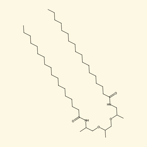 CCCCCCCCCCCCCCCCCC(=O)NCC(C)OCC(C)OCC(C)NC(=O)CCCCCCCCCCCCCCCCC